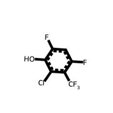 Oc1c(F)cc(F)c(C(F)(F)F)c1Cl